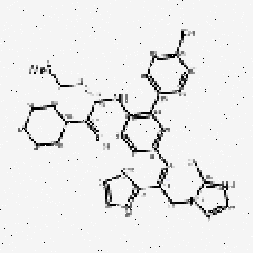 CSCC[C@H](Nc1ccc(/C=C(/Cn2ccnc2C)c2nccs2)cc1-c1ccc(F)cc1)C(=O)C1CCCCC1